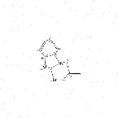 CC(=O)CN1c2ccccc2OC1Br